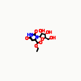 CCOC(=O)c1cc(=O)[nH]c(=O)n1[C@@H]1O[C@H](CO)[C@@H](O)[C@H]1O